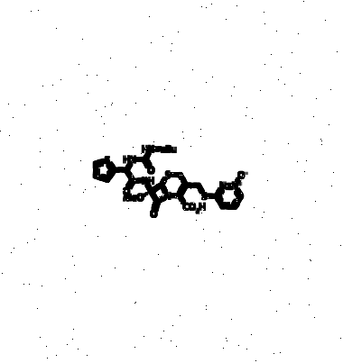 CCCCNC(=O)NC(C(=O)N[C@]1(OC)C(=O)N2C(C(=O)O)=C(CSc3ccc[n+]([O-])n3)CSC21)c1cccs1